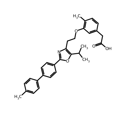 Cc1ccc(-c2ccc(-c3nc(CCOc4cc(CC(=O)O)ccc4C)c(C(C)C)o3)cc2)cc1